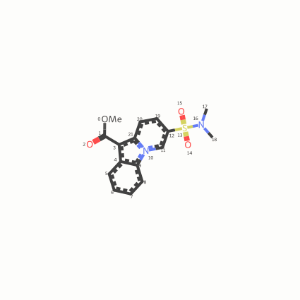 COC(=O)c1c2ccccc2n2cc(S(=O)(=O)N(C)C)ccc12